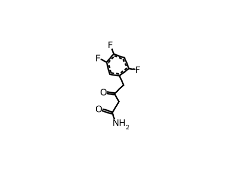 NC(=O)CC(=O)Cc1cc(F)c(F)cc1F